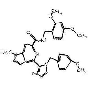 COc1ccc(Cn2cnnc2-c2nc(C(=O)NCc3ccc(OC)cc3OC)cc3c2cnn3C)cc1